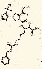 CC(C)(C)OC(=O)N1C[C@@H](n2nncc2C(C)(C)O)C[C@H]1C(=O)NC(CCCCNC(=O)OCc1ccccc1)C(O)C(N)=O